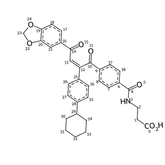 O=C(O)CCNC(=O)c1ccc(C(=O)/C(=C\C(=O)c2ccc3c(c2)OCO3)c2ccc(C3CCCCC3)cc2)cc1